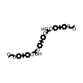 CC(C)(C1CCC(OCC(O)COC2CCC(C(C)(C)C3CCC(OCC4CO4)CC3)CC2)CC1)C1CCC(OCC(O)COC2CCC(C(C)(C)C3CCC(OCC4CO4)CC3)CC2)CC1